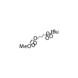 COC(=O)/C=C\C(=O)OCCCCC(=O)OC(=O)C(C)(C)C